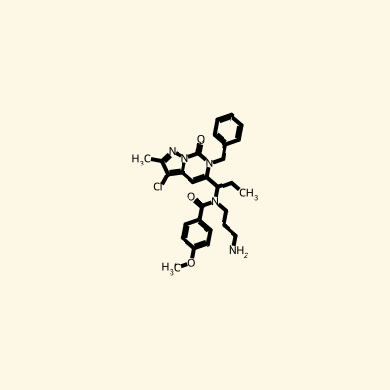 CCC(c1cc2c(Cl)c(C)nn2c(=O)n1Cc1ccccc1)N(CCCN)C(=O)c1ccc(OC)cc1